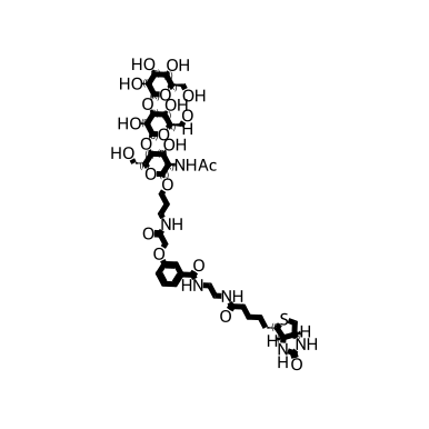 CC(=O)N[C@H]1[C@H](OCCCNC(=O)COc2cccc(C(=O)NCCNC(=O)CCCC[C@@H]3SC[C@@H]4NC(=O)N[C@@H]43)c2)O[C@H](CO)[C@@H](O[C@@H]2O[C@H](CO)[C@H](O)[C@H](O[C@H]3O[C@H](CO)[C@H](O)[C@H](O)[C@H]3O)[C@H]2O)[C@@H]1O